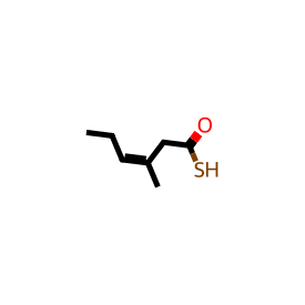 CCC=C(C)CC(=O)S